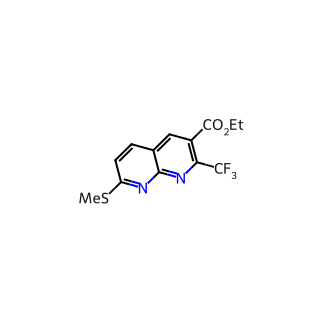 CCOC(=O)c1cc2ccc(SC)nc2nc1C(F)(F)F